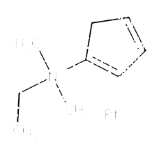 CC[N+](C)(C)C1=CC=CC1.[Pt]